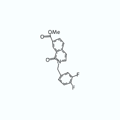 COC(=O)c1ccc2ccn(Cc3ccc(F)c(F)c3)c(=O)c2c1